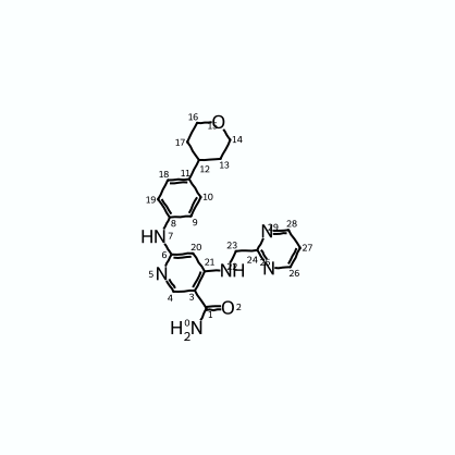 NC(=O)c1cnc(Nc2ccc(C3CCOCC3)cc2)cc1NCc1ncccn1